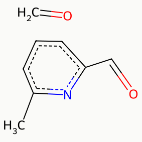 C=O.Cc1cccc(C=O)n1